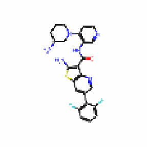 Nc1sc2cc(-c3c(F)cccc3F)cnc2c1C(=O)Nc1cnccc1N1CCC[C@H](N)C1